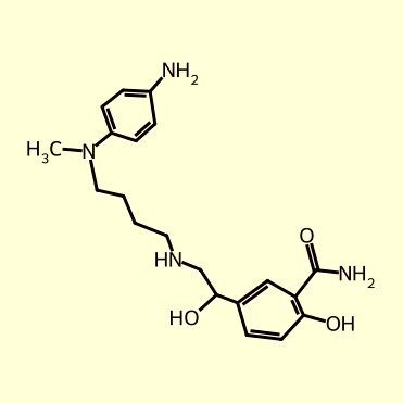 CN(CCCCNCC(O)c1ccc(O)c(C(N)=O)c1)c1ccc(N)cc1